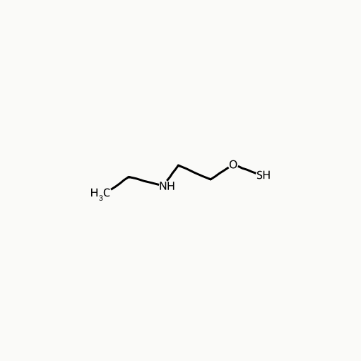 CCNCCOS